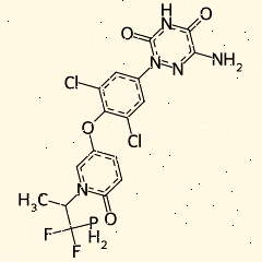 CC(n1cc(Oc2c(Cl)cc(-n3nc(N)c(=O)[nH]c3=O)cc2Cl)ccc1=O)C(F)(F)P